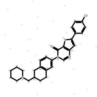 O=c1c2sc(-c3ccc(Cl)cc3)cc2ncn1-c1ccc2c(c1)CCC(CN1CCCCC1)C2